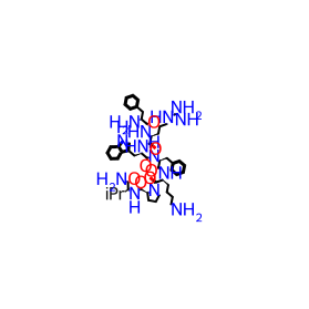 CC(C)[C@H](NC(=O)[C@@H]1CCCN1C(=O)[C@H](CCCCN)NC(=O)[C@H](Cc1ccccc1)NC(=O)[C@@H](Cc1c[nH]c2ccccc12)NC(=O)[C@H](CCCNC(=N)N)NC(=O)[C@H](N)Cc1ccccc1)C(N)=O